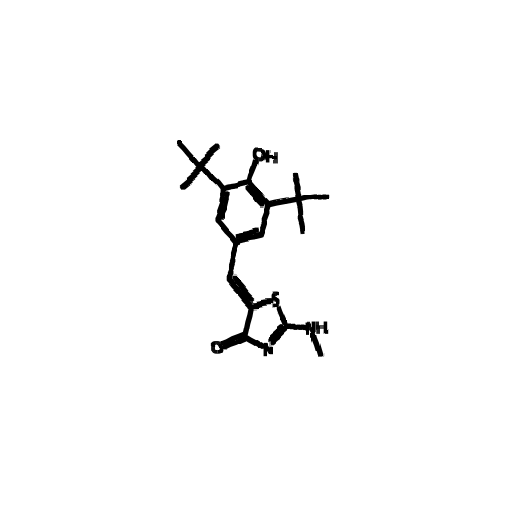 CNC1=NC(=O)/C(=C/c2cc(C(C)(C)C)c(O)c(C(C)(C)C)c2)S1